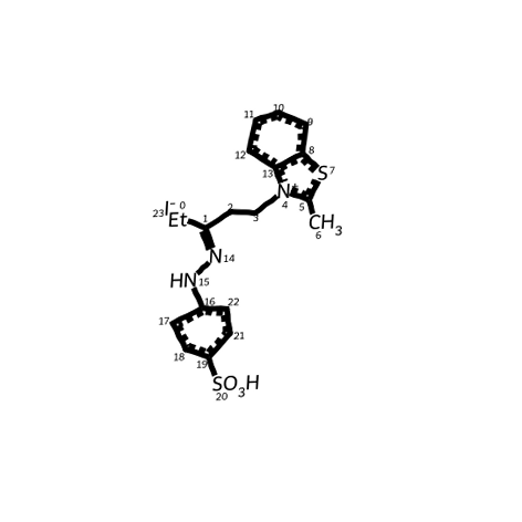 CCC(CC[n+]1c(C)sc2ccccc21)=NNc1ccc(S(=O)(=O)O)cc1.[I-]